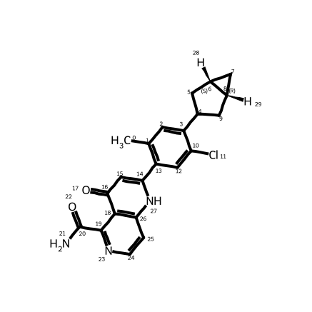 Cc1cc(C2C[C@@H]3C[C@@H]3C2)c(Cl)cc1-c1cc(=O)c2c(C(N)=O)nccc2[nH]1